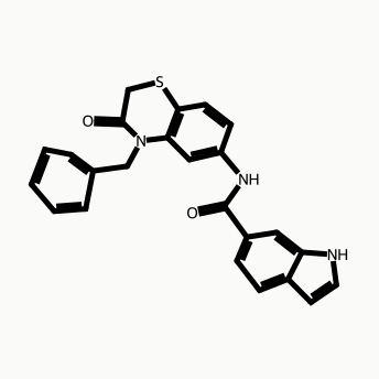 O=C(Nc1ccc2c(c1)N(Cc1ccccc1)C(=O)CS2)c1ccc2cc[nH]c2c1